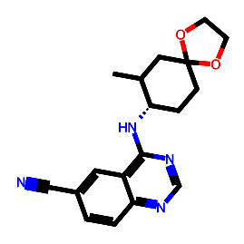 CC1CC2(CC[C@@H]1Nc1ncnc3ccc(C#N)cc13)OCCO2